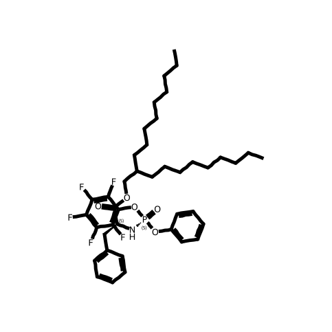 CCCCCCCCCC(CCCCCCCCC)COC(=O)[C@H](Cc1ccccc1)N[P@](=O)(Oc1ccccc1)Oc1c(F)c(F)c(F)c(F)c1F